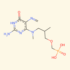 C=Nc1c(N(C)CC(C)COCP(=O)(O)O)nc(N)[nH]c1=O